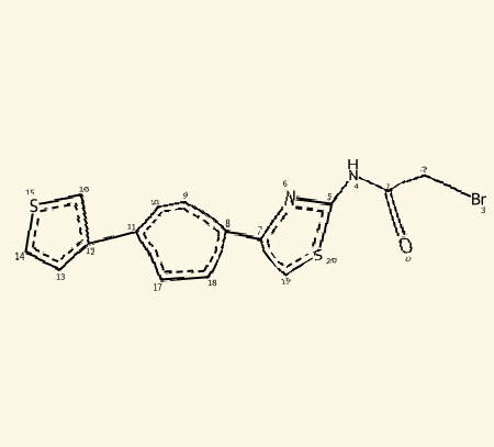 O=C(CBr)Nc1nc(-c2ccc(-c3ccsc3)cc2)cs1